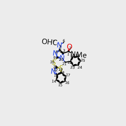 CNC(=O)c1c(N(C)C=O)nc(Sc2nc3ccccc3s2)n1Cc1ccccc1